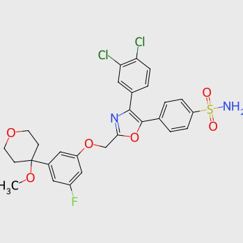 COC1(c2cc(F)cc(OCc3nc(-c4ccc(Cl)c(Cl)c4)c(-c4ccc(S(N)(=O)=O)cc4)o3)c2)CCOCC1